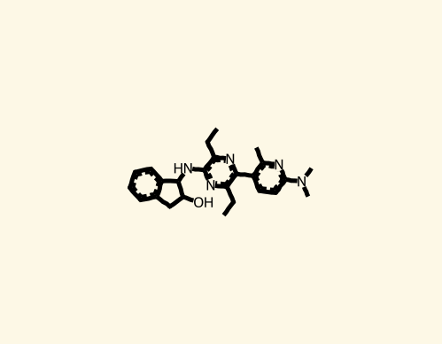 CCc1nc(-c2ccc(N(C)C)nc2C)c(CC)nc1NC1c2ccccc2CC1O